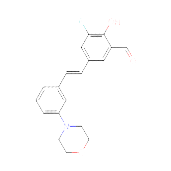 O=Cc1cc(/C=C/c2cccc(N3CCOCC3)c2)cc(F)c1O